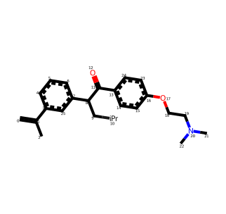 C=C(C)c1cccc(C(CC(C)C)C(=O)c2ccc(OCCN(C)C)cc2)c1